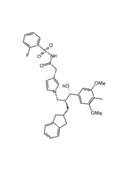 COc1cc([C@@H](O)[C@@H](CC2Cc3ccccc3C2)Cn2ccc(CC(=O)NS(=O)(=O)c3ccccc3F)c2)cc(OC)c1C